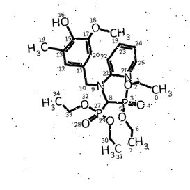 CCOP(=O)(OCC)C(N(Cc1cc(C)c(O)c(OC)c1)c1ccccn1)P(=O)(OCC)OCC